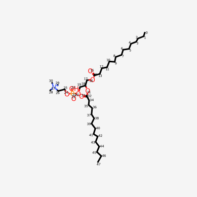 CCCCCCCCCCCCCCC(=O)OCC(COP(=O)(O)OCC[N+](C)(C)C)OC(=O)CCCCCCCCCCCCCC